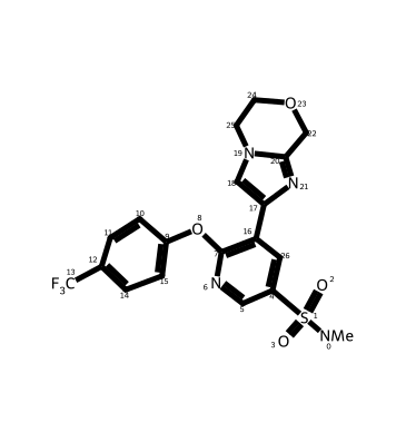 CNS(=O)(=O)c1cnc(Oc2ccc(C(F)(F)F)cc2)c(-c2cn3c(n2)COCC3)c1